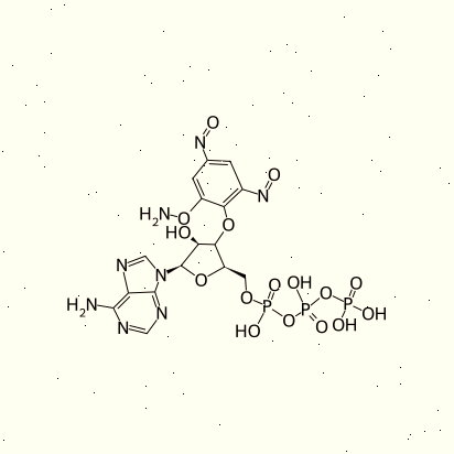 NOc1cc(N=O)cc(N=O)c1OC1[C@@H](COP(=O)(O)OP(=O)(O)OP(=O)(O)O)O[C@@H](n2cnc3c(N)ncnc32)[C@H]1O